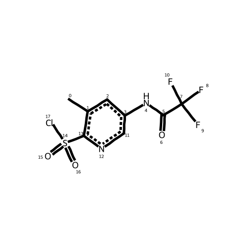 Cc1cc(NC(=O)C(F)(F)F)cnc1S(=O)(=O)Cl